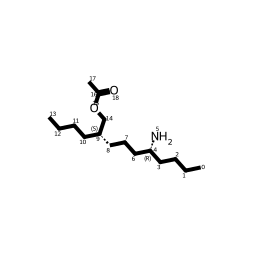 CCCC[C@@H](N)CCC[C@H](CCCC)COC(C)=O